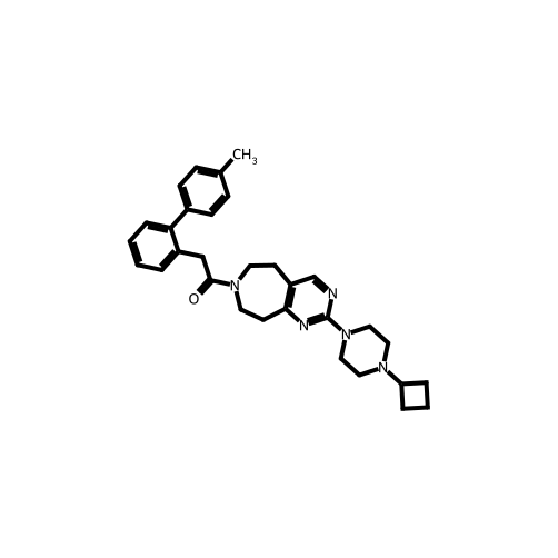 Cc1ccc(-c2ccccc2CC(=O)N2CCc3cnc(N4CCN(C5CCC5)CC4)nc3CC2)cc1